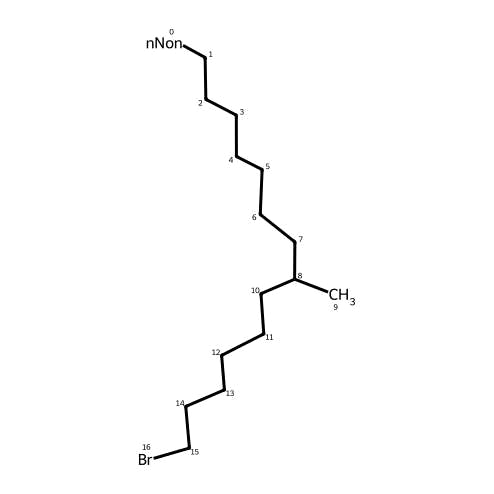 CCCCCCCCCCCCCCCCC(C)CCCCCCBr